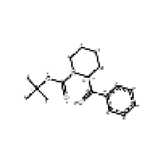 CC(C)(C)OC(=O)N1CCCC[C@H]1C(=O)c1ccccc1